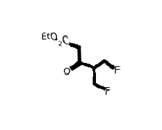 CCOC(=O)CC(=O)C(CF)CF